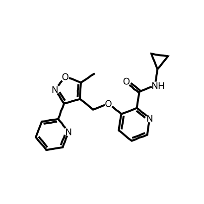 Cc1onc(-c2ccccn2)c1COc1cccnc1C(=O)NC1CC1